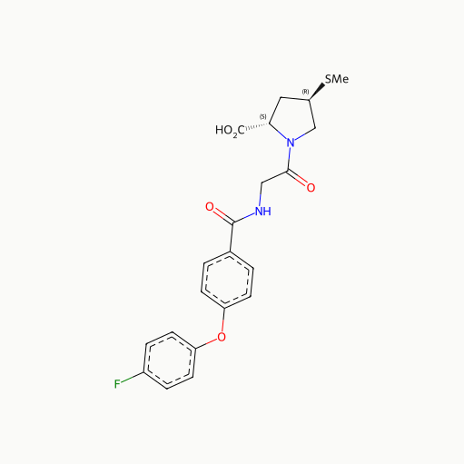 CS[C@@H]1C[C@@H](C(=O)O)N(C(=O)CNC(=O)c2ccc(Oc3ccc(F)cc3)cc2)C1